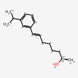 CC(C)c1cccc(/C=C/CCCC[C@@H](C)O)c1